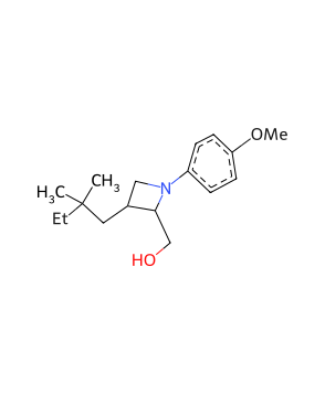 CCC(C)(C)CC1CN(c2ccc(OC)cc2)C1CO